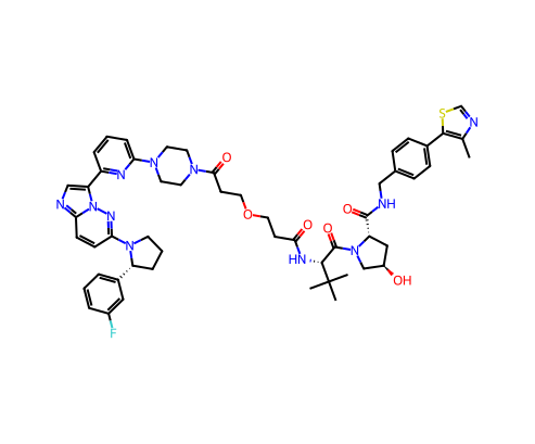 Cc1ncsc1-c1ccc(CNC(=O)[C@@H]2C[C@@H](O)CN2C(=O)[C@@H](NC(=O)CCOCCC(=O)N2CCN(c3cccc(-c4cnc5ccc(N6CCC[C@@H]6c6cccc(F)c6)nn45)n3)CC2)C(C)(C)C)cc1